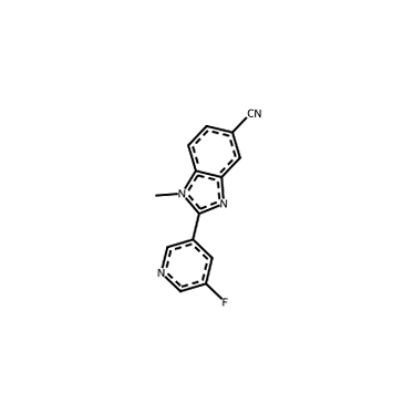 Cn1c(-c2cncc(F)c2)nc2cc(C#N)ccc21